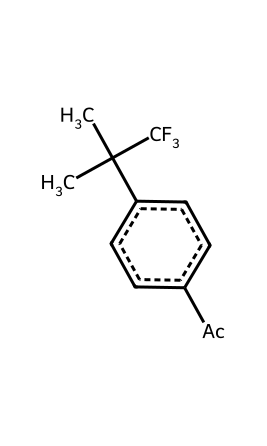 CC(=O)c1ccc(C(C)(C)C(F)(F)F)cc1